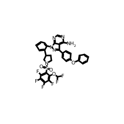 Nc1ncnc2c1c(-c1ccc(Oc3ccccc3)cc1)nn2-c1ccccc1C1CCN(S(=O)(=O)c2c(F)c(F)c(F)c(F)c2OC(F)F)C1